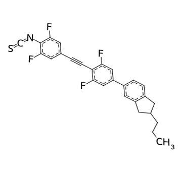 CCCC1Cc2ccc(-c3cc(F)c(C#Cc4cc(F)c(N=C=S)c(F)c4)c(F)c3)cc2C1